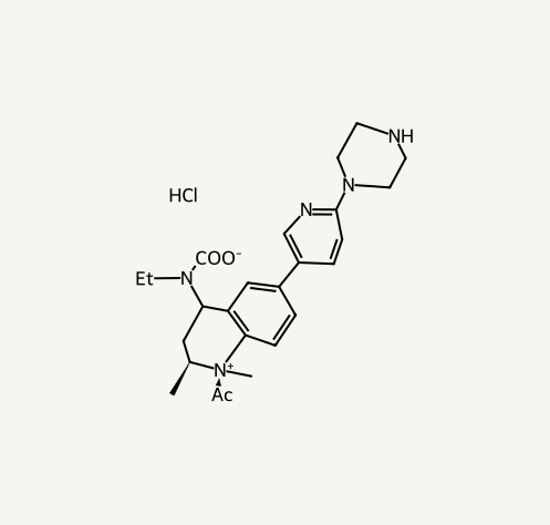 CCN(C(=O)[O-])C1C[C@H](C)[N@+](C)(C(C)=O)c2ccc(-c3ccc(N4CCNCC4)nc3)cc21.Cl